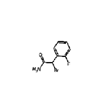 NC(=O)C(Br)c1ccccc1F